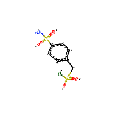 NS(=O)(=O)c1ccc(CS(=O)(=O)Cl)cc1